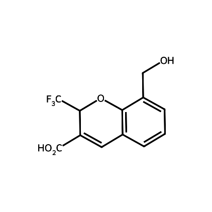 O=C(O)C1=Cc2cccc(CO)c2OC1C(F)(F)F